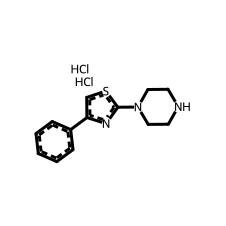 Cl.Cl.c1ccc(-c2csc(N3CCNCC3)n2)cc1